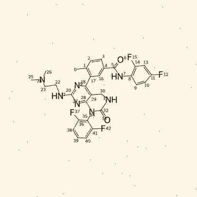 Cc1ccc(C(=O)Nc2ccc(F)cc2F)cc1-c1nc(NCCN(C)C)nc2c1CNC(=O)N2c1c(F)cccc1F